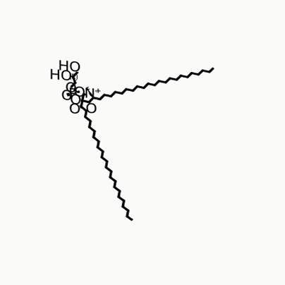 CCCCCCCCCCCCCCCCCCCCCCCC(=O)C(C[N+](C)(C)C)(OP(=O)([O-])OC[C@H](O)CO)C(=O)CCCCCCCCCCCCCCCCCCCCCCC